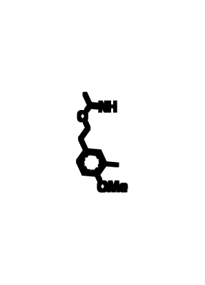 COc1ccc(CCOC(C)=N)cc1C